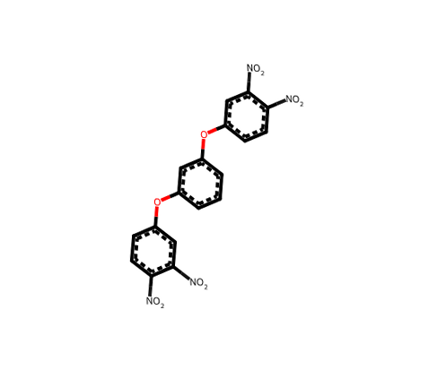 O=[N+]([O-])c1ccc(Oc2cccc(Oc3ccc([N+](=O)[O-])c([N+](=O)[O-])c3)c2)cc1[N+](=O)[O-]